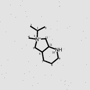 CC(C)[N+]1(C)CC2CCCNC2C1